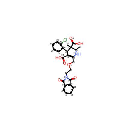 CC1NC(COCCN2C(=O)c3ccccc3C2=O)=C(C(=O)O)C(c2ccccc2Cl)C1(C)C(=O)O